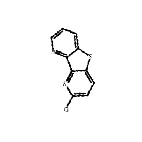 Clc1ccc2sc3cccnc3c2n1